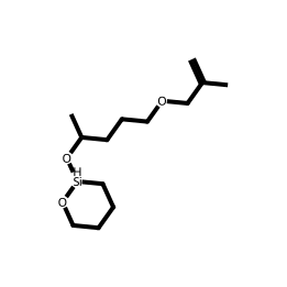 C=C(C)COCCCC(C)O[SiH]1CCCCO1